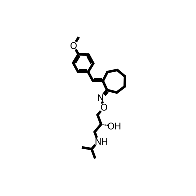 COc1ccc(/C=C2\CCCCC\C2=N/OC[C@H](O)CNC(C)C)cc1